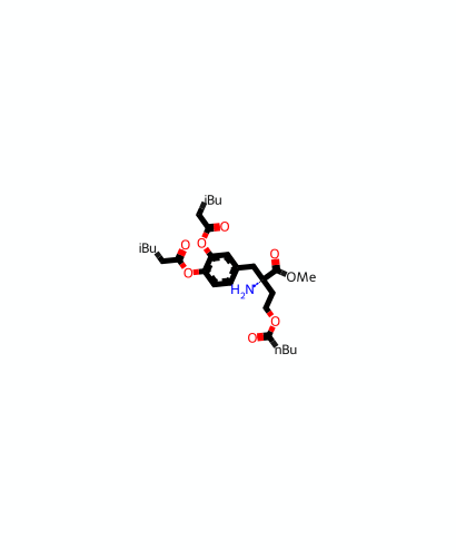 CCCCC(=O)OCC[C@@](N)(Cc1ccc(OC(=O)CC(C)CC)c(OC(=O)CC(C)CC)c1)C(=O)OC